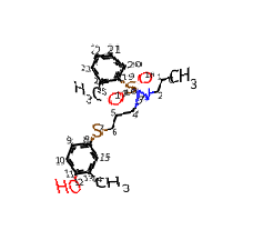 CCCN(CCCSc1ccc(O)c(C)c1)S(=O)(=O)c1ccccc1C